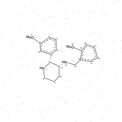 COc1cccc([C@H]2NCCC[C@H]2NCc2ccccc2OC)c1